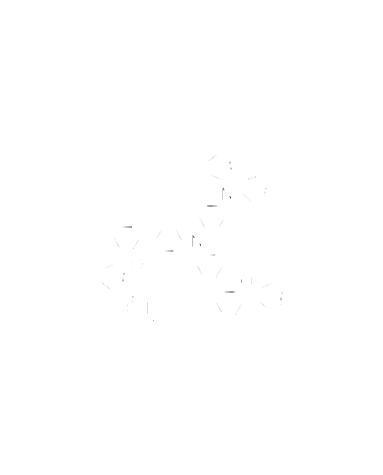 C=Cc1cccc2c1oc1c(-c3ccc(N(c4ccc(-c5cccc6c5oc5ccccc56)cc4)c4ccc(-n5c6ccccc6c6ccccc65)cc4)cc3)cccc12